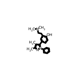 Cc1nn(-c2ccccc2)c(-c2ccc(O)c(CCN(C)C)c2)c1C